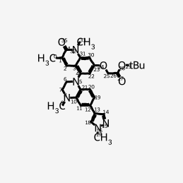 Cc1cc2c(N3CCN(C)c4cc(-c5cnn(C)c5)ccc43)cc(OCC(=O)OC(C)(C)C)cc2n(C)c1=O